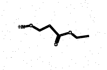 CCOC(=O)CCO[NH]